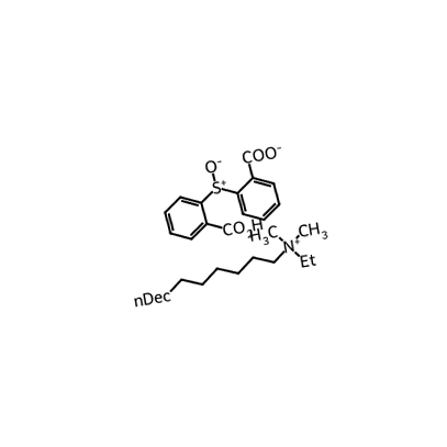 CCCCCCCCCCCCCCCC[N+](C)(C)CC.O=C([O-])c1ccccc1[S+]([O-])c1ccccc1C(=O)O